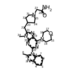 Cc1nc2ccccc2n1-c1nc(N2CCOCC2)c2nc(CC3CCN(CC(N)=O)CC3)n(C)c2n1